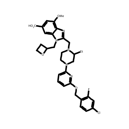 CCC1CN(c2cccc(OCc3ccc(Cl)cc3F)n2)CCN1Cc1nc2c(OC)cc(C(=O)O)cc2n1CC1CCO1